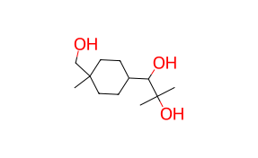 CC1(CO)CCC(C(O)C(C)(C)O)CC1